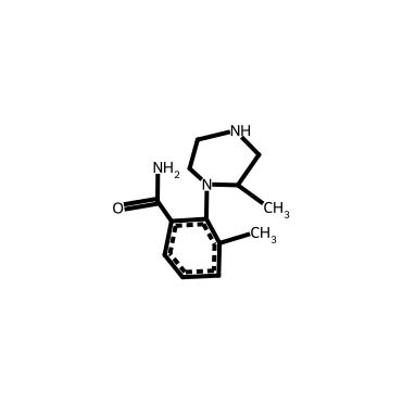 Cc1cccc(C(N)=O)c1N1CCNCC1C